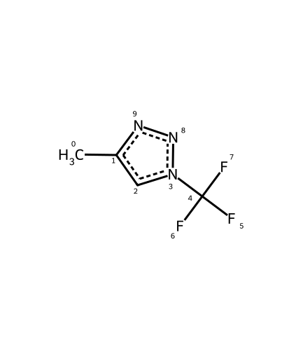 Cc1cn(C(F)(F)F)nn1